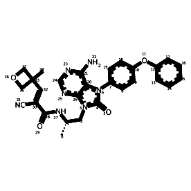 C[C@@H](Cn1c(=O)n(-c2ccc(Oc3ccccc3)cc2)c2c(N)ncnc21)NC(=O)C(C#N)=CC1(C)COC1